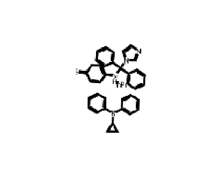 CCC[SiH](C1=CCC(=S)C=C1)C(c1ccccc1)(c1ccccc1)n1ccnc1.c1ccc(B(c2ccccc2)C2CC2)cc1